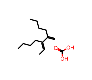 C=C(CCCC)C(=CC)CCCC.O=C(O)O